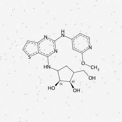 COc1cc(Nc2nc(NC3CC(CO)[C@@H](O)[C@H]3O)c3sccc3n2)ccn1